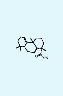 CC1(C)CCC=C2C1CCC1C(C)(C(=O)O)CCCC21C